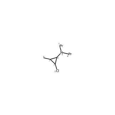 CC1C(Cl)C1N(C(C)C)C(C)C